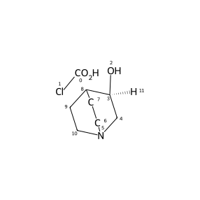 O=C(O)Cl.O[C@H]1CN2CCC1CC2